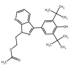 CC(=O)OCCn1nc(-c2cc(C(C)(C)C)c(O)c(C(C)(C)C)c2)c2cccnc21